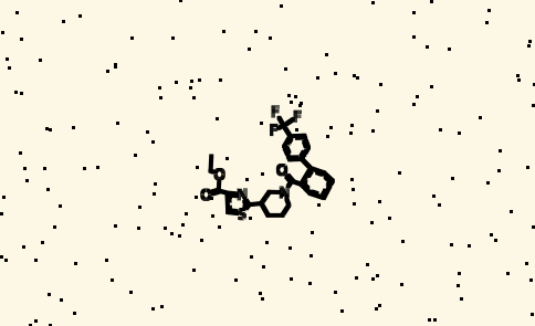 CCOC(=O)c1csc(C2CCCN(C(=O)c3ccccc3-c3ccc(C(F)(F)F)cc3)C2)n1